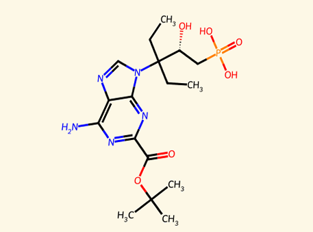 CCC(CC)([C@H](O)CP(=O)(O)O)n1cnc2c(N)nc(C(=O)OC(C)(C)C)nc21